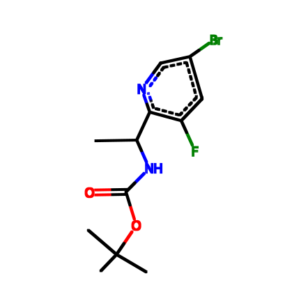 CC(NC(=O)OC(C)(C)C)c1ncc(Br)cc1F